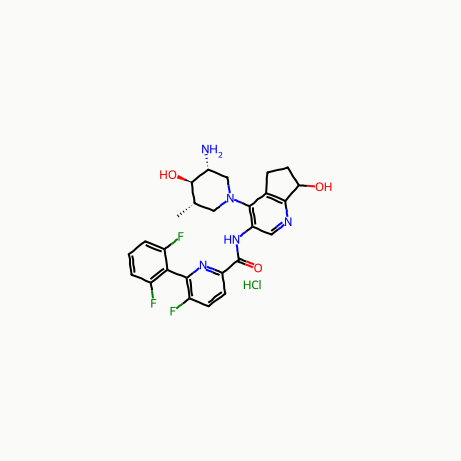 C[C@H]1CN(c2c(NC(=O)c3ccc(F)c(-c4c(F)cccc4F)n3)cnc3c2CCC3O)C[C@@H](N)[C@@H]1O.Cl